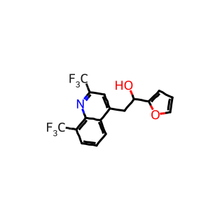 OC(Cc1cc(C(F)(F)F)nc2c(C(F)(F)F)cccc12)c1ccco1